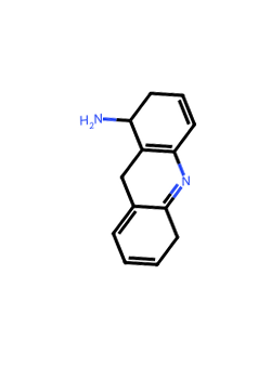 NC1CC=CC2=C1CC1=CC=CCC1=N2